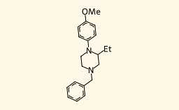 CCC1CN(Cc2ccccc2)CCN1c1ccc(OC)cc1